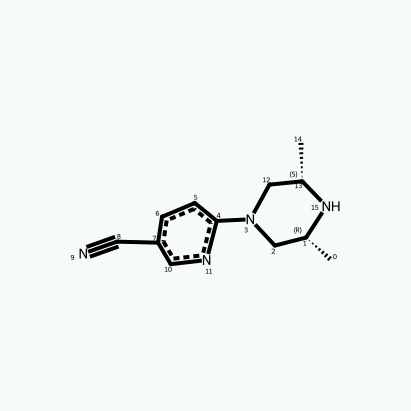 C[C@@H]1CN(c2ccc(C#N)cn2)C[C@H](C)N1